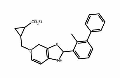 CCOC(=O)C1CC1CN1C=CC2=C(C1)SC(c1cccc(-c3ccccc3)c1C)N2